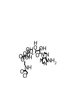 Nc1ncnc2c1ncn2[C@@H]1O[C@H](COP(=O)(O)OP(=O)(O)OCCNC(=O)CCl)[C@@H](O)[C@H]1O